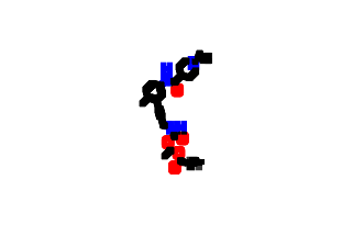 CC(=O)N1CCC(C(=O)Nc2ccc(C)c(C#CCNC(=O)OC(C)OC(=O)C(C)C)c2)CC1